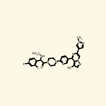 Cn1cc(-c2cn3ncc(C#N)c3c(-c3ccc(N4CCN(C(=O)C(NC(=O)O)c5ccc(F)cc5F)CC4)nc3)n2)cn1